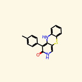 Cc1ccc(-c2c3c(c[nH]c2=O)Sc2ccccc2N3)cc1